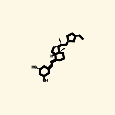 CC[C@@H]1CCN(C[C@@H](C)[C@H]2CC[C@H]3/C(=C/C=C4C[C@@H](O)C[C@H](O)C4)CCC[C@]23C)C1